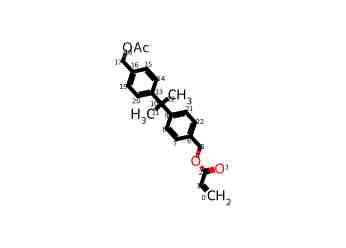 C=CC(=O)OCc1ccc(C(C)(C)c2ccc(COC(C)=O)cc2)cc1